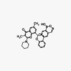 Cc1cc(C(C)Oc2ccccc2-c2ccc3c(c2)C=NOB3O)c2oc(N3CCCCC3)c(C)c(=O)c2c1